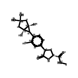 CNC(=O)[C@H]1CN(c2ccc(C3[C@H]4CS(O)(O)C[C@@H]34)c(F)c2)C(=O)O1